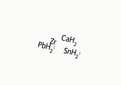 [CaH2].[PbH2].[SnH2].[Zr]